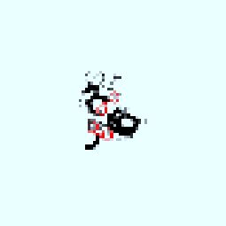 C=C(C)C(=O)O.C=CC(=O)OC1(CC)C2CC3CC(C2)CC1C3.O=C1CCCO1